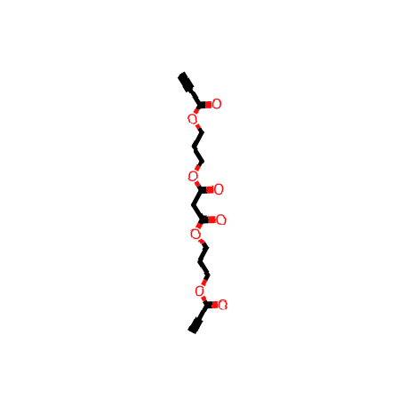 C#CC(=O)OCCCOC(=O)CC(=O)OCCCOC(=O)C#C